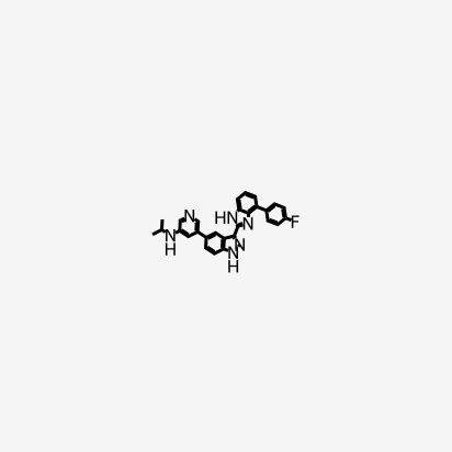 CC(C)Nc1cncc(-c2ccc3[nH]nc(-c4nc5c(-c6ccc(F)cc6)cccc5[nH]4)c3c2)c1